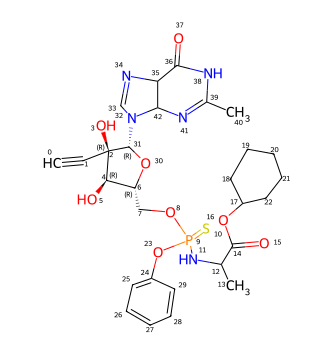 C#C[C@@]1(O)[C@H](O)[C@@H](COP(=S)(NC(C)C(=O)OC2CCCCC2)Oc2ccccc2)O[C@H]1N1C=NC2C(=O)NC(C)=NC21